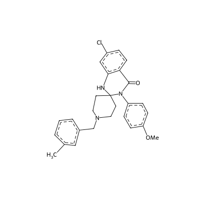 COc1ccc(N2C(=O)c3ccc(Cl)cc3NC23CCN(Cc2cccc(C)c2)CC3)cc1